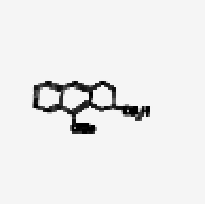 COc1c2c(cc3ccccc13)CCC(C(=O)O)C2